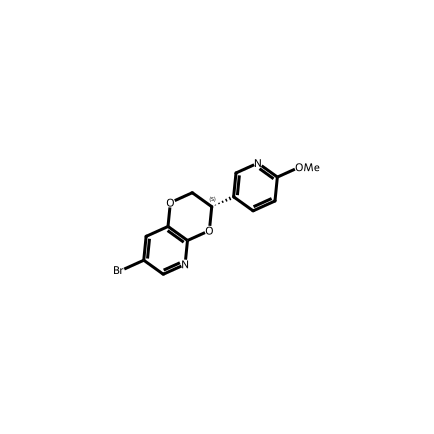 COc1ccc([C@H]2COc3cc(Br)cnc3O2)cn1